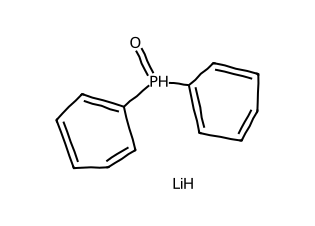 O=[PH](c1ccccc1)c1ccccc1.[LiH]